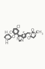 Cc1cc(Cl)cc(-c2ncnc3cc(CN4C(=O)CCN(C)C4=O)sc23)c1O[C@H]1CCCNC1